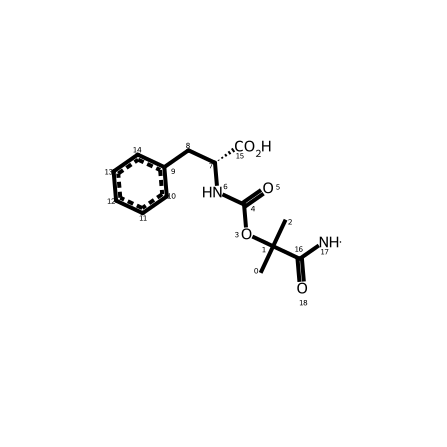 CC(C)(OC(=O)N[C@H](Cc1ccccc1)C(=O)O)C([NH])=O